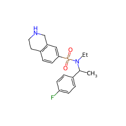 CCN(C(C)c1ccc(F)cc1)S(=O)(=O)c1ccc2c(c1)CNCC2